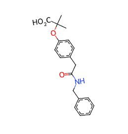 CC(C)(Oc1ccc(CC(=O)NCc2ccccc2)cc1)C(=O)O